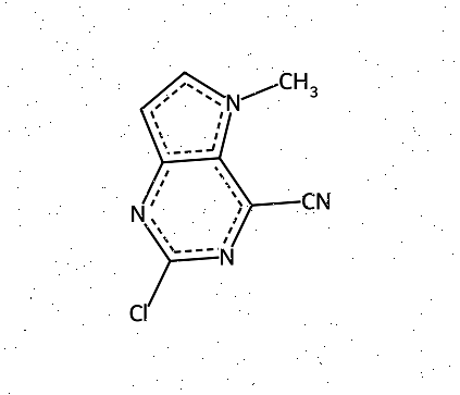 Cn1ccc2nc(Cl)nc(C#N)c21